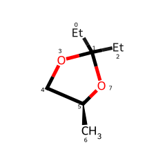 CCC1(CC)OC[C@H](C)O1